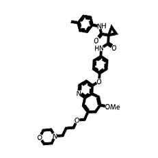 COC1=Cc2c(Oc3ccc(NC(=O)C4(C(=O)Nc5ccc(C)cc5)CC4)cc3)ccnc2C=C(COCCCN2CCOCC2)C1